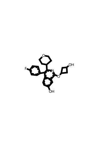 Oc1ccc2c(-c3ccc(F)cc3)c(C3CCOCC3)nc(OC3CC(O)C3)c2c1